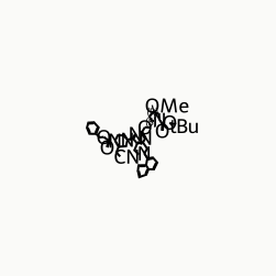 CO[C@@H]1C[C@@H](COc2nc3c(c(N4CCN(C(=O)OCc5ccccc5)C(CC#N)C4)n2)CCN(c2cccc4ccccc24)C3)N(C(=O)OC(C)(C)C)C1